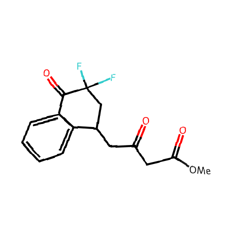 COC(=O)CC(=O)CC1CC(F)(F)C(=O)c2ccccc21